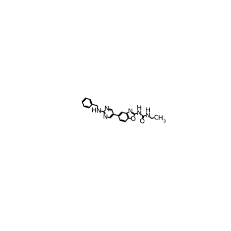 CCNC(=O)Nc1nc2cc(-c3cnc(NCc4ccccc4)nc3)ccc2o1